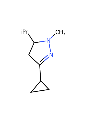 CC(C)C1CC(C2CC2)=NN1C